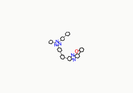 c1ccc(-c2ccc(-c3nc(-c4ccccc4)nc(-c4ccc(-c5cccc(-c6ccc7nc8ccc9c%10ccccc%10oc9c8nc7c6)c5)cc4)n3)cc2)cc1